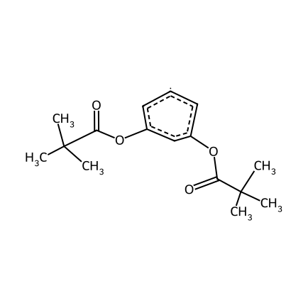 CC(C)(C)C(=O)Oc1c[c]cc(OC(=O)C(C)(C)C)c1